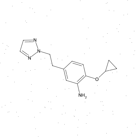 Nc1cc(CCn2nccn2)ccc1OC1CC1